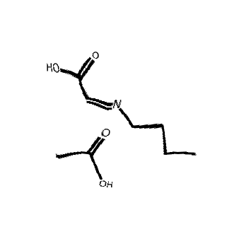 CC(=O)O.CCCCN=CC(=O)O